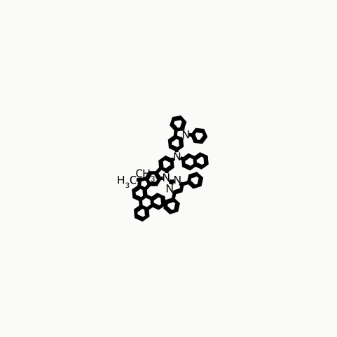 CC1(C)c2cc3c4ccc(N(c5ccc6ccccc6c5)c5ccc6c7ccccc7n(-c7ccccc7)c6c5)cc4n(-c4nc(-c5ccccc5)cc(-c5ccccc5)n4)c3cc2-c2c1ccc1c3ccccc3c3ccccc3c21